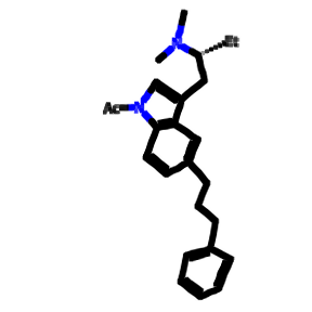 CC[C@H](Cc1cn(C(C)=O)c2ccc(CCCc3ccccc3)cc12)N(C)C